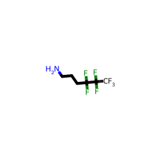 NCCCC(F)(F)C(F)(F)C(F)(F)F